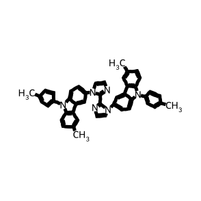 Cc1ccc(-n2c3ccc(C)cc3c3cc(-n4ccnc4-c4nccn4-c4ccc5c(c4)c4cc(C)ccc4n5-c4ccc(C)cc4)ccc32)cc1